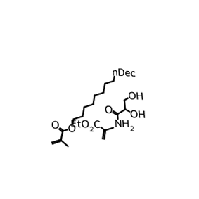 C=C(C)C(=O)OCC.C=C(C)C(=O)OCCCCCCCCCCCCCCCCCC.NC(=O)C(O)CO